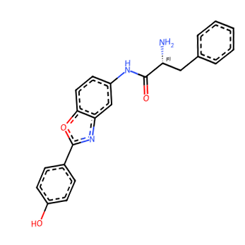 N[C@H](Cc1ccccc1)C(=O)Nc1ccc2oc(-c3ccc(O)cc3)nc2c1